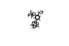 CC1(C)OB(c2ccc(C=O)c(OC(F)(F)F)c2)OC1(C)C